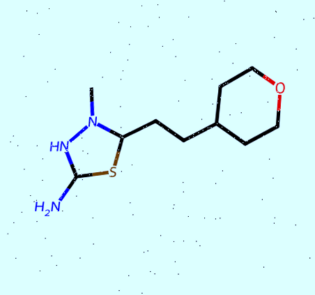 CN1NC(N)SC1CCC1CCOCC1